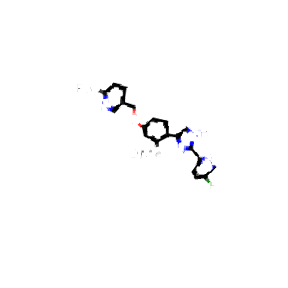 COc1cc(OCc2ccc(C(F)(F)F)nc2)ccc1-c1c[nH]c(-c2ccc(F)cn2)n1